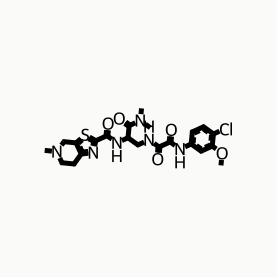 COc1cc(NC(=O)C(=O)NCC(NC(=O)c2nc3c(s2)CN(C)CC3)C(=O)N(C)C)ccc1Cl